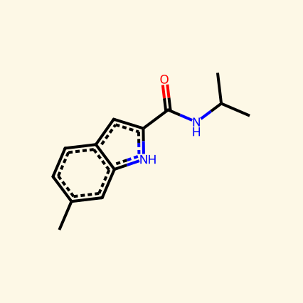 Cc1ccc2cc(C(=O)NC(C)C)[nH]c2c1